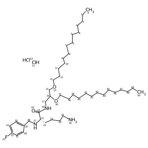 CCCCCCCCCCCCCCOCC(CNC(=O)[C@H](CCCCN)NCc1ccc(F)cc1)OCCCCCCCCCCCCCC.Cl.Cl